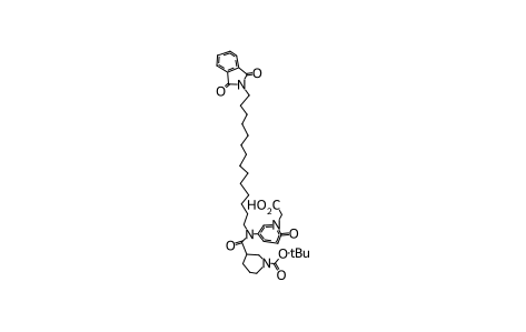 CC(C)(C)OC(=O)N1CCCC(C(=O)N(CCCCCCCCCCCCCCN2C(=O)c3ccccc3C2=O)c2ccc(=O)n(CC(=O)O)c2)C1